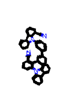 N#Cc1cccc(-n2c3ccccc3c3ccccc32)c1-c1cccc(-c2cccc(N3c4c(C#N)cccc4C4C=CC=CC43)c2)c1